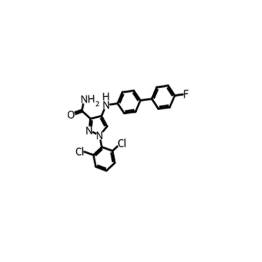 NC(=O)c1nn(-c2c(Cl)cccc2Cl)cc1Nc1ccc(-c2ccc(F)cc2)cc1